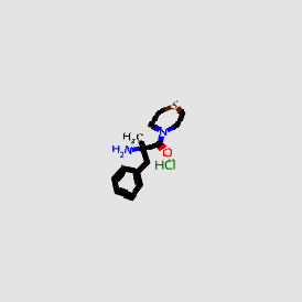 CC(N)(Cc1ccccc1)C(=O)N1CCSCC1.Cl